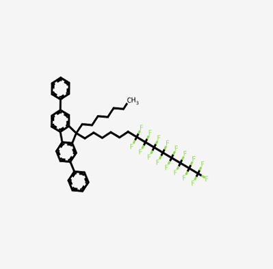 CCCCCCCC1(CCCCCCC(F)(F)C(F)(F)C(F)(F)C(F)(F)C(F)(F)C(F)(F)C(F)(F)C(F)(F)F)c2cc(-c3ccccc3)ccc2-c2ccc(-c3ccccc3)cc21